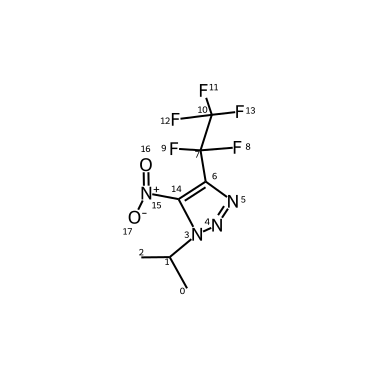 CC(C)n1nnc(C(F)(F)C(F)(F)F)c1[N+](=O)[O-]